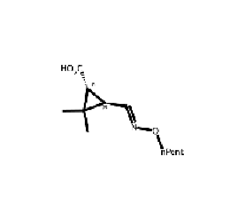 CCCCCON=C[C@@H]1[C@@H](C(=O)O)C1(C)C